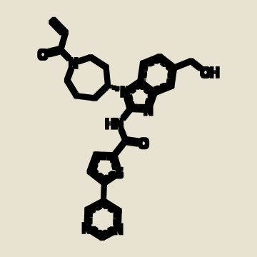 C=CC(=O)N1CCC[C@@H](n2c(NC(=O)c3ccc(-c4cncnc4)s3)nc3cc(CO)ccc32)CC1